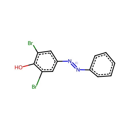 Oc1c(Br)cc(/N=N/c2ccccc2)cc1Br